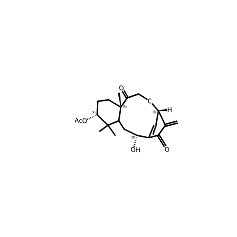 C=C1C(=O)C2=C[C@@H]1CCC(=O)[C@@]1(C)CC[C@@H](OC(C)=O)C(C)(C)C1C[C@H]2O